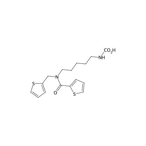 O=C(O)NCCCCCN(Cc1cccs1)C(=O)c1cccs1